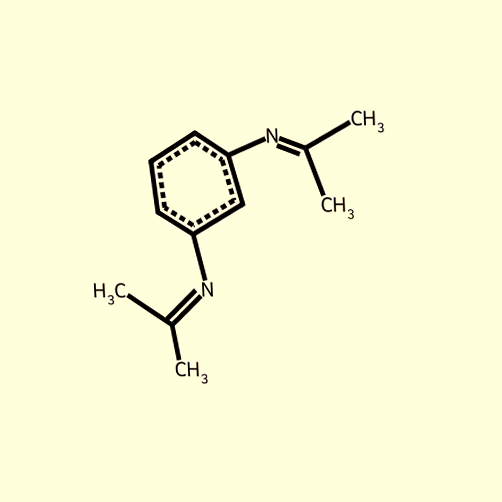 CC(C)=Nc1cccc(N=C(C)C)c1